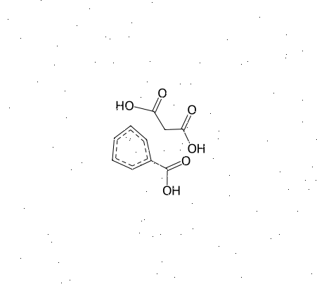 O=C(O)CC(=O)O.O=C(O)c1ccccc1